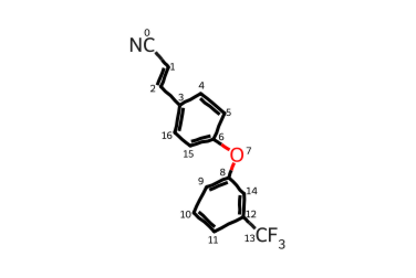 N#C/C=C/c1ccc(Oc2cccc(C(F)(F)F)c2)cc1